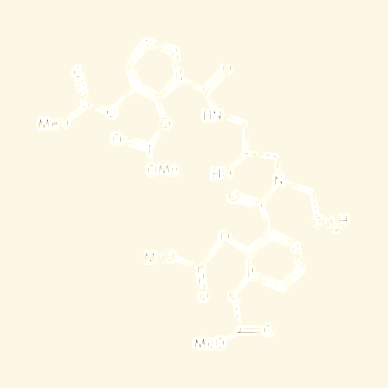 COC(=O)Oc1cccc(C(=O)NCC(O)CN(CC(=O)O)C(=O)c2cccc(OC(=O)OC)c2OC(=O)OC)c1OC(=O)OC